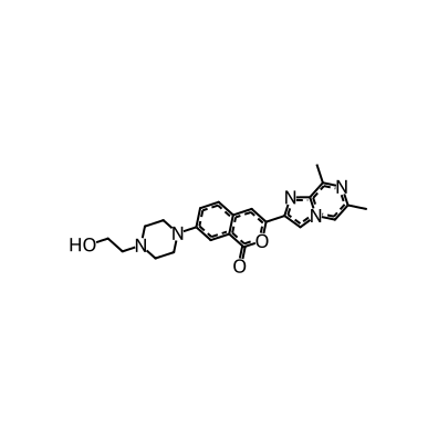 Cc1cn2cc(-c3cc4ccc(N5CCN(CCO)CC5)cc4c(=O)o3)nc2c(C)n1